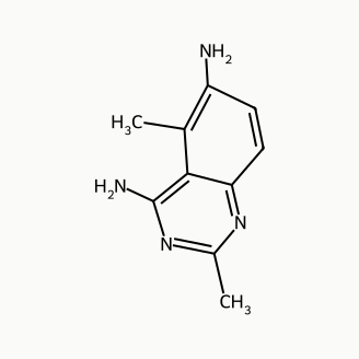 Cc1nc(N)c2c(C)c(N)ccc2n1